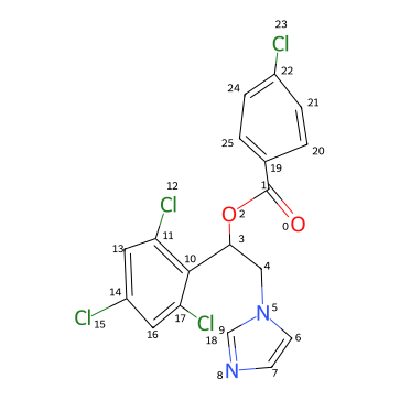 O=C(OC(Cn1ccnc1)c1c(Cl)cc(Cl)cc1Cl)c1ccc(Cl)cc1